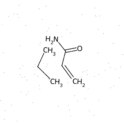 C=CC(N)=O.CCC